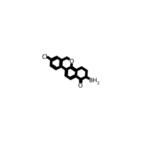 BC1CCc2c(ccc3c2OCc2cc(Cl)ccc2-3)C1=O